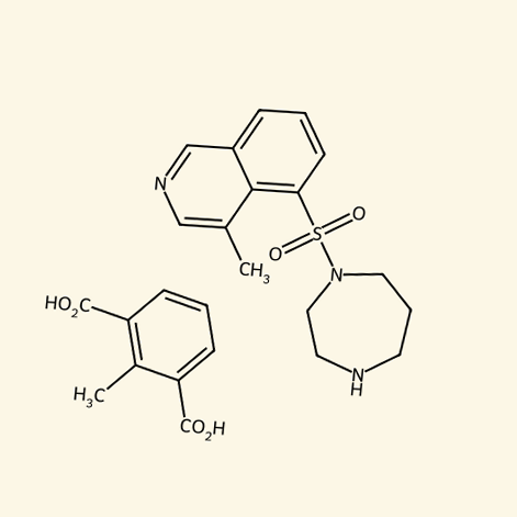 Cc1c(C(=O)O)cccc1C(=O)O.Cc1cncc2cccc(S(=O)(=O)N3CCCNCC3)c12